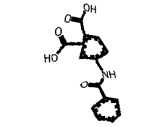 O=C(Nc1ccc(C(=O)O)c(C(=O)O)c1)c1ccccc1